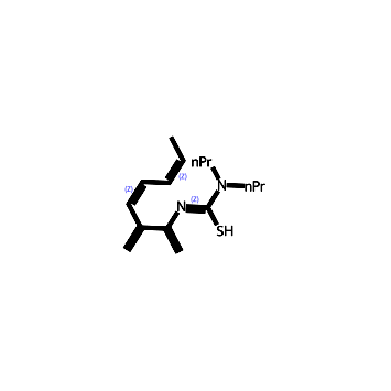 C=C(/C=C\C=C/C)C(=C)/N=C(\S)N(CCC)CCC